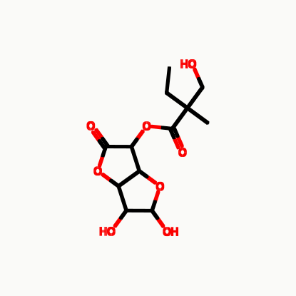 CCC(C)(CO)C(=O)OC1C(=O)OC2C(O)C(O)OC12